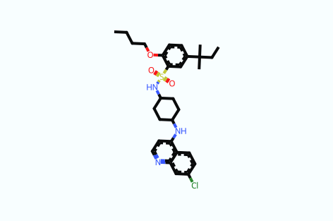 CCCCOc1ccc(C(C)(C)CC)cc1S(=O)(=O)NC1CCC(Nc2ccnc3cc(Cl)ccc23)CC1